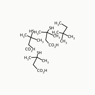 CC(C)(S)CC(=O)O.CC(C)(S)CC(=O)O.CC(C)(S)CC(=O)O.CCC(C)(C)C